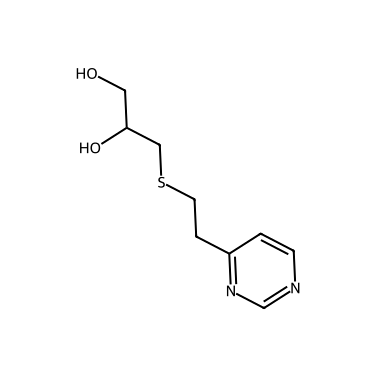 OCC(O)CSCCc1ccncn1